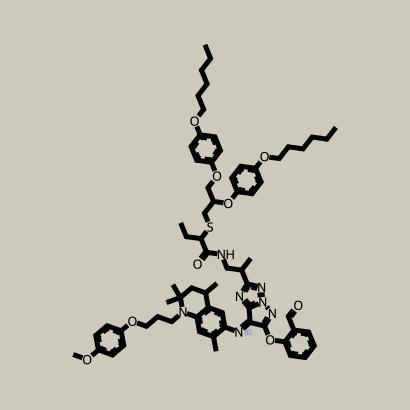 CCCCCCOc1ccc(OCC(CSC(CC)C(=O)NCC(C)c2nc3n(n2)N=C(Oc2ccccc2C=O)/C3=N/c2cc3c(cc2C)N(CCCOc2ccc(OC)cc2)C(C)(C)CC3C)Oc2ccc(OCCCCCC)cc2)cc1